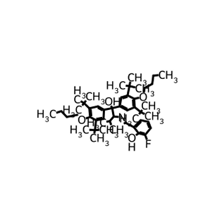 CCCCOc1c(C(C)(C)C)cc(C(O)(c2cc(C(C)(C)C)c(OCCCC)c(C(C)(C)C)c2)C(N=Cc2cccc(F)c2O)C(C)C)cc1C(C)(C)C